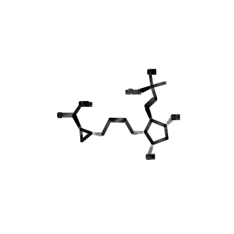 CCCCC[C@](C)(O)/C=C/[C@@H]1[C@@H](C/C=C\C[C@@H]2C[C@H]2C(=O)OC)[C@@H](O)C[C@H]1O